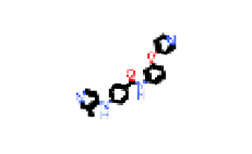 Cc1cnccc1Nc1ccc(C(=O)Nc2cccc(Oc3ccncc3)c2)cc1